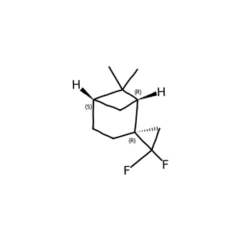 CC1(C)[C@H]2CC[C@@]3(CC3(F)F)[C@@H]1C2